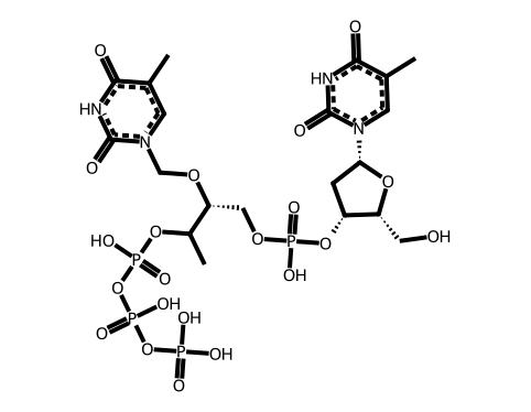 Cc1cn(CO[C@H](COP(=O)(O)O[C@@H]2C[C@H](n3cc(C)c(=O)[nH]c3=O)O[C@@H]2CO)C(C)OP(=O)(O)OP(=O)(O)OP(=O)(O)O)c(=O)[nH]c1=O